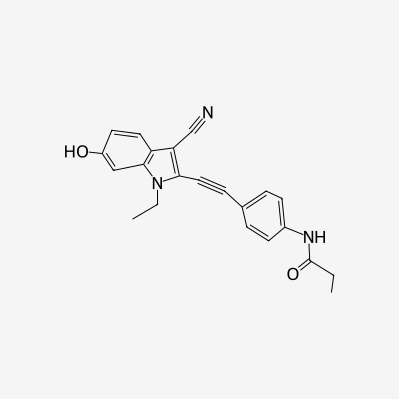 CCC(=O)Nc1ccc(C#Cc2c(C#N)c3ccc(O)cc3n2CC)cc1